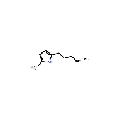 COCCCCc1ccc(C(=O)O)[nH]1